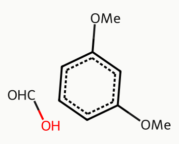 COc1cccc(OC)c1.O=CO